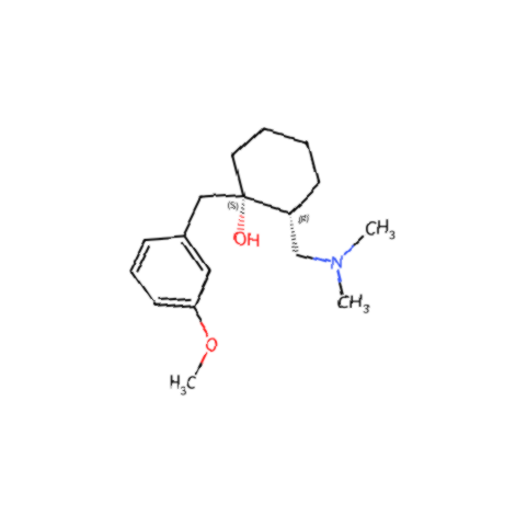 COc1cccc(C[C@@]2(O)CCCC[C@@H]2CN(C)C)c1